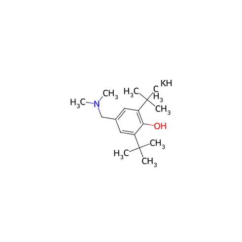 CN(C)Cc1cc(C(C)(C)C)c(O)c(C(C)(C)C)c1.[KH]